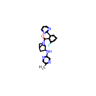 Cc1cnc(NC2CC3CC2N(C(=O)c2c(F)cccc2-c2ncccn2)C3)cn1